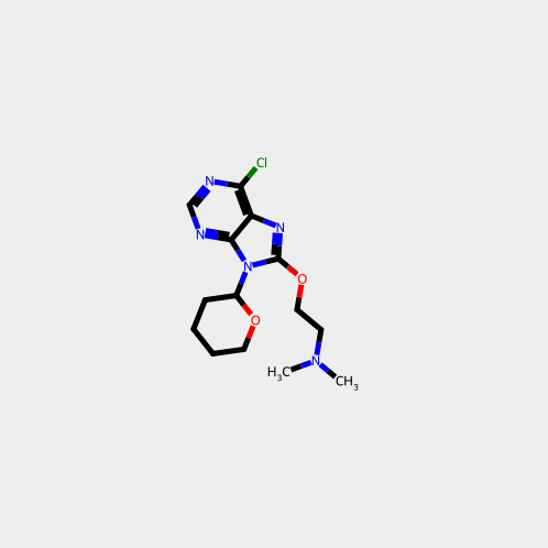 CN(C)CCOc1nc2c(Cl)ncnc2n1C1CCCCO1